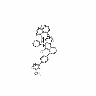 Cc1nc(-c2ccc(-c3cccc4c(Cl)c([C@H](C)Nc5ncnc6[nH]ccc(=O)c56)n(-c5ccccc5)c(=O)c34)cc2)no1